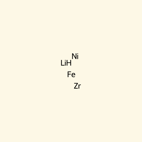 [Fe].[LiH].[Ni].[Zr]